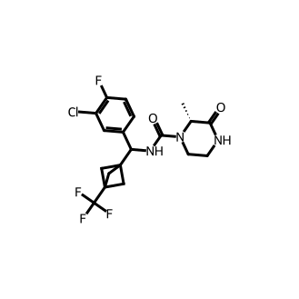 C[C@@H]1C(=O)NCCN1C(=O)NC(c1ccc(F)c(Cl)c1)C12CC(C(F)(F)F)(C1)C2